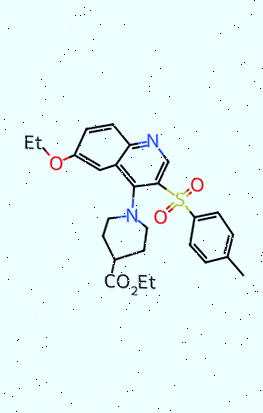 CCOC(=O)C1CCN(c2c(S(=O)(=O)c3ccc(C)cc3)cnc3ccc(OCC)cc23)CC1